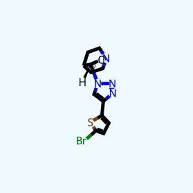 Brc1ccc(-c2cn([C@H]3CN4CCC3CC4)nn2)s1